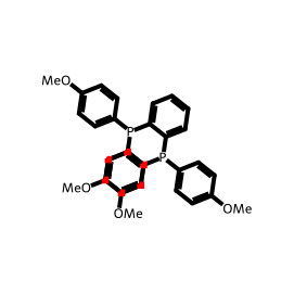 COc1ccc(P(c2ccc(OC)cc2)c2ccccc2P(c2ccc(OC)cc2)c2ccc(OC)cc2)cc1